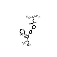 CC(CO)c1cc(-c2ccc(-c3cccc(C(=O)NCCN(C)C)c3)cc2)n(-c2ccccc2Cl)n1